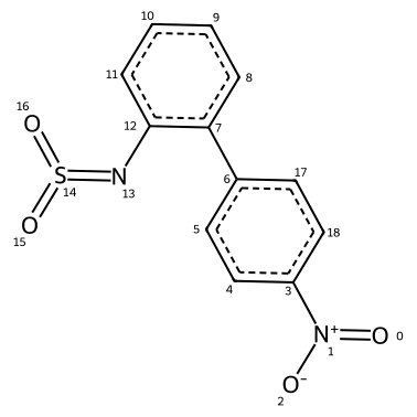 O=[N+]([O-])c1ccc(-c2ccccc2N=S(=O)=O)cc1